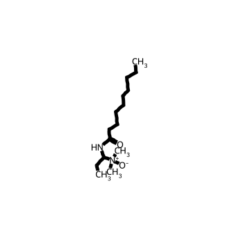 CCCCCCCCCC(=O)NC(CC)[N+](C)(C)[O-]